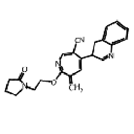 C=C1C=C(C2C=Nc3ccccc3C2)C(C#N)=CN=C1OCCN1CCCC1=O